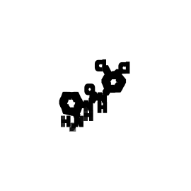 Nc1ccccc1NC(=O)Nc1ccc(Cl)c(Cl)c1